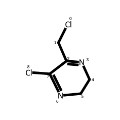 ClCC1=NCCN=C1Cl